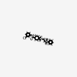 O=C(Nc1cccc(Cl)c1)C1CCC2(CC1)CN(CCS(=O)(=O)c1ccccc1)C2